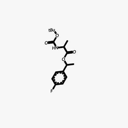 CC(NC(=O)OC(C)(C)C)C(=O)OC(C)c1ccc(F)cc1